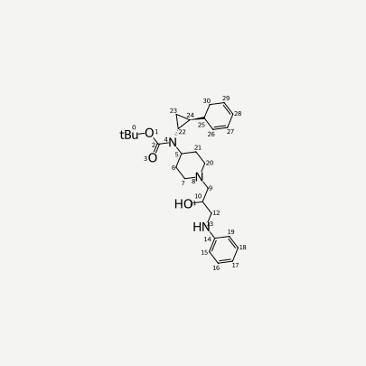 CC(C)(C)OC(=O)N(C1CCN(CC(O)CNc2ccccc2)CC1)[C@@H]1C[C@H]1C1C=CC=CC1